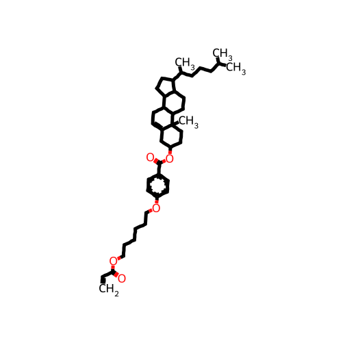 C=CC(=O)OCCCCCCOc1ccc(C(=O)OC2CCC3(C)C(=CCC4C5CCC(C(C)CCCC(C)C)C5CCC43)C2)cc1